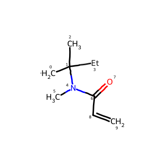 [CH2]C(C)(CC)N(C)C(=O)C=C